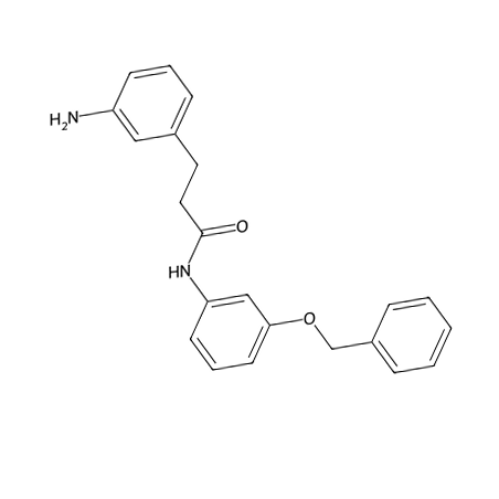 Nc1cccc(CCC(=O)Nc2cccc(OCc3ccccc3)c2)c1